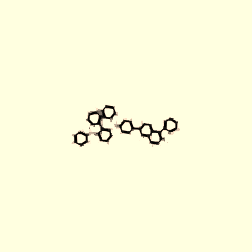 c1ccc(N(c2ccc(-c3ccc4c(ccc5oc6ccccc6c54)c3)cc2)c2cccc3c2c2ccccc2n3-c2ccccc2)cc1